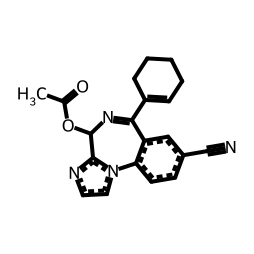 CC(=O)OC1N=C(C2=CCCCC2)c2cc(C#N)ccc2-n2ccnc21